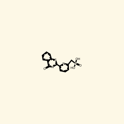 O=c1nc(-c2cccc(CP(=O)(O)O)n2)sc2ccccc12